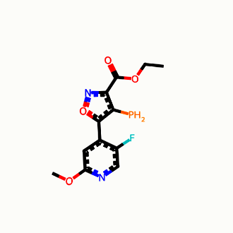 CCOC(=O)c1noc(-c2cc(OC)ncc2F)c1P